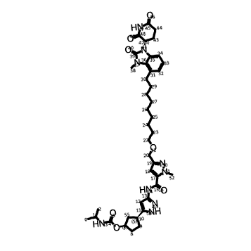 CC(C)NC(=O)O[C@@H]1CC[C@H](c2cc(NC(=O)c3cc(COCCCCCCCCCc4cccc5c4n(C)c(=O)n5[C@H]4CCC(=O)NC4=O)nn3C)n[nH]2)C1